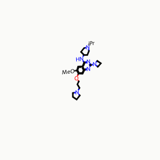 COc1cc2c(NC3CCN(C(C)C)CC3)nc(N3CCC3)nc2cc1OCCCN1CCCC1